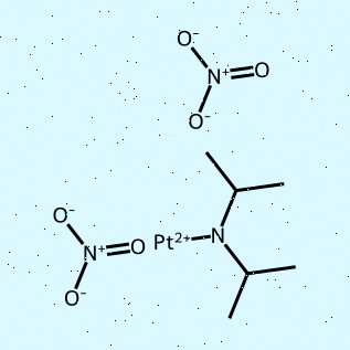 CC(C)[N]([Pt+2])C(C)C.O=[N+]([O-])[O-].O=[N+]([O-])[O-]